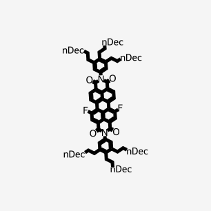 CCCCCCCCCCCCc1cc(N2C(=O)c3ccc4c5c(F)cc6c7c(cc(F)c(c8ccc(c3c48)C2=O)c75)C(=O)N(c2cc(CCCCCCCCCCCC)c(CCCCCCCCCCCC)c(CCCCCCCCCCCC)c2)C6=O)cc(CCCCCCCCCCCC)c1CCCCCCCCCCCC